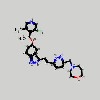 Cc1cncc(Cl)c1[C@@H](C)Oc1ccc2[nH]nc(/C=C/c3ccc(CN4CCCOCC4)nn3)c2c1